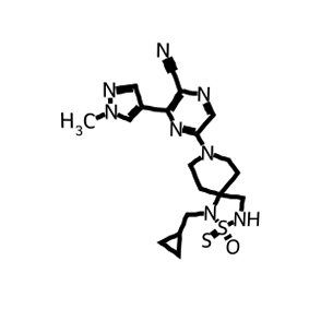 Cn1cc(-c2nc(N3CCC4(CC3)CNS(=O)(=S)N4CC3CC3)cnc2C#N)cn1